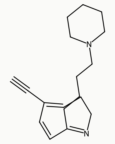 C#CC1=C\CC/N=C(CCCCN2CCCCC2)/C=C\1